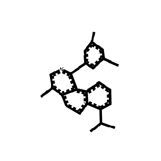 Cc1cc(C)cc(-c2ncc(C)c3ccc4c(C(C)C)cccc4c23)c1